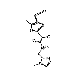 Cc1oc(C(=O)C(=O)NCc2nccn2C)cc1C=O